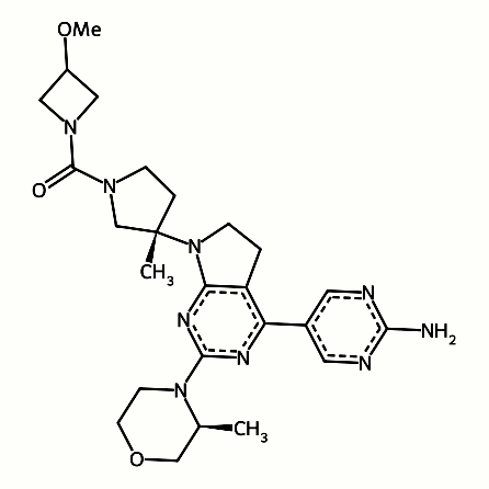 COC1CN(C(=O)N2CC[C@](C)(N3CCc4c(-c5cnc(N)nc5)nc(N5CCOC[C@@H]5C)nc43)C2)C1